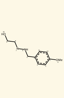 COc1ccc(CN[N]CCO)cc1